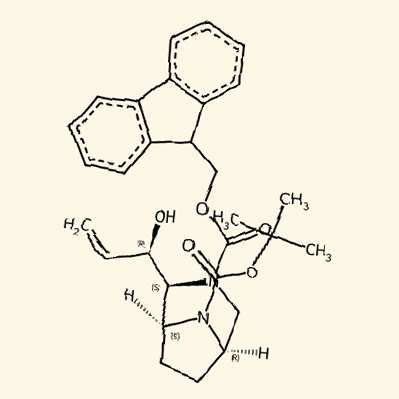 C=C[C@@H](O)[C@@H]1[C@@H]2CC[C@H](CN1C(=O)OCC1c3ccccc3-c3ccccc31)N2C(=O)OC(C)(C)C